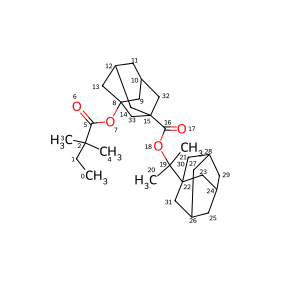 CCC(C)(C)C(=O)OC12CC3CC(C1)CC(C(=O)OC(C)(C)C14CC5CC(CC(C5)C1)C4)(C3)C2